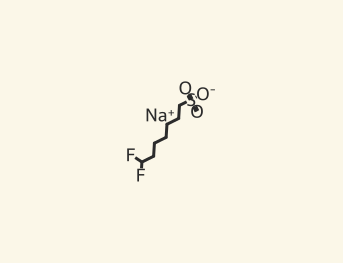 O=S(=O)([O-])CCCCCCC(F)F.[Na+]